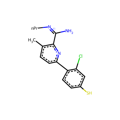 CCC/N=C(/N)c1nc(-c2ccc(S)cc2Cl)ccc1C